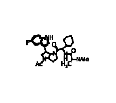 CNC(C)C(=O)NC(C(=O)N1CCC2C1C(c1c[nH]c3ccc(F)cc13)CN2C(C)=O)C1CCCCC1